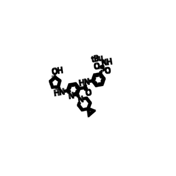 CC(C)(C)NS(=O)(=O)c1cccc(NC(=O)c2ccc(N[C@H]3CC[C@H](O)C3)nc2N2CCC3(CC2)CC3)c1